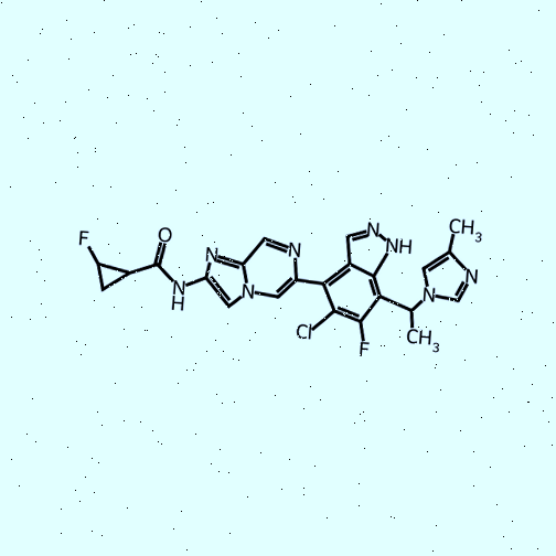 Cc1cn(C(C)c2c(F)c(Cl)c(-c3cn4cc(NC(=O)C5CC5F)nc4cn3)c3cn[nH]c23)cn1